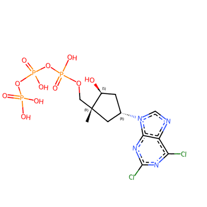 C[C@]1(COP(=O)(O)OP(=O)(O)OP(=O)(O)O)C[C@@H](n2cnc3c(Cl)nc(Cl)nc32)C[C@@H]1O